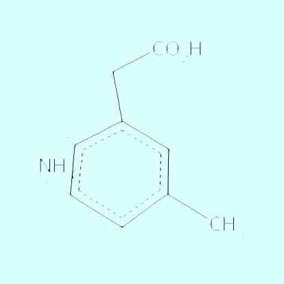 Cc1cccc(CC(=O)O)c1.N